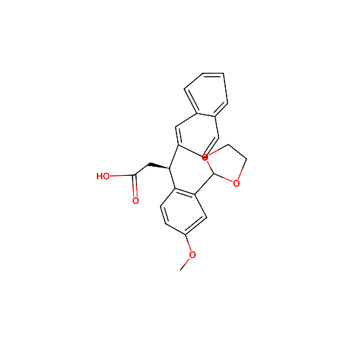 COc1ccc([C@@H](CC(=O)O)c2ccc3ccccc3c2)c(C2OCCO2)c1